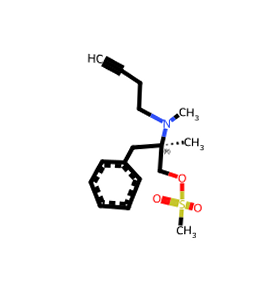 C#CCCN(C)[C@@](C)(COS(C)(=O)=O)Cc1ccccc1